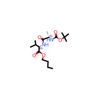 CCCCOC(=O)[C@@H](NC(=O)[C@H](C)NC(=O)OC(C)(C)C)C(C)C